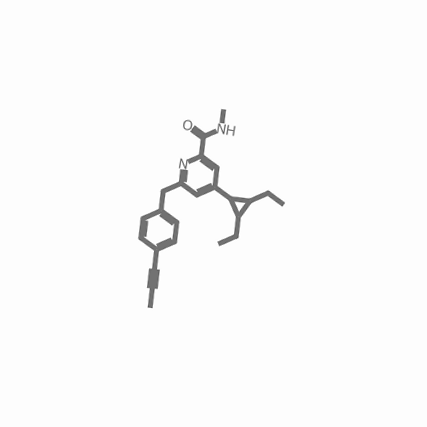 CC#Cc1ccc(Cc2cc(C3C(CC)C3CC)cc(C(=O)NC)n2)cc1